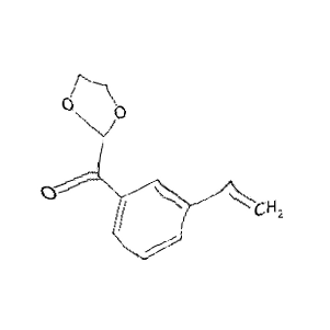 C=Cc1cccc(C(=O)C2OCCO2)c1